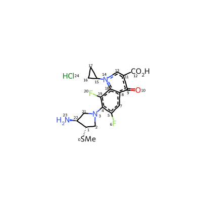 CS[C@H]1CN(c2c(F)cc3c(=O)c(C(=O)O)cn(C4CC4)c3c2F)C[C@@H]1N.Cl